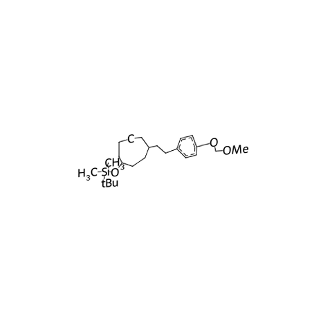 COCOc1ccc(CCC2CCCCC(O[Si](C)(C)C(C)(C)C)CC2)cc1